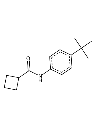 CC(C)(C)c1ccc(NC(=O)C2CCC2)cc1